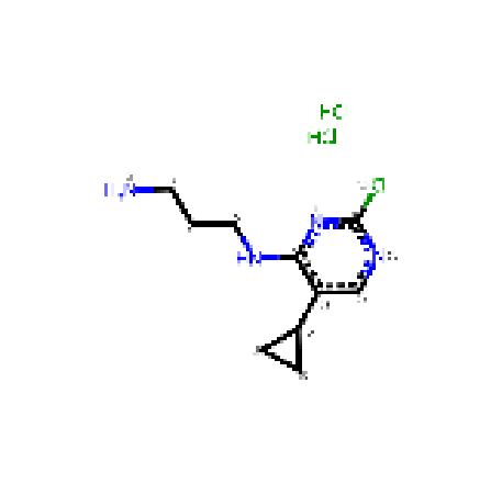 Cl.Cl.NCCCNc1nc(Cl)ncc1C1CC1